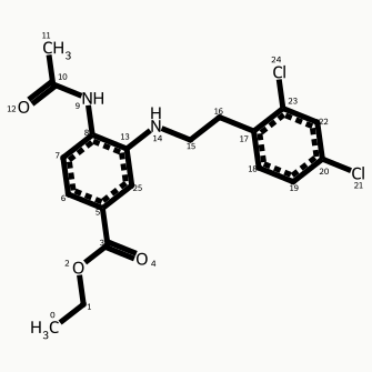 CCOC(=O)c1ccc(NC(C)=O)c(NCCc2ccc(Cl)cc2Cl)c1